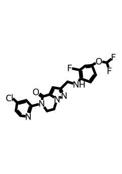 O=C1c2cc(CNc3ccc(OC(F)F)cc3F)nn2CCN1c1cc(Cl)ccn1